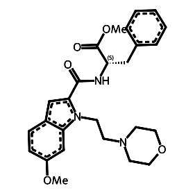 COC(=O)[C@H](Cc1ccccc1)NC(=O)c1cc2ccc(OC)cc2n1CCN1CCOCC1